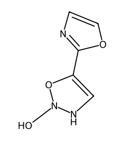 ON1NC=C(c2ncco2)O1